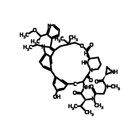 CCn1c(-c2cccnc2[C@H](C)OC)c2c3cc(ccc31)-c1cc(O)cc(c1)C[C@H](NC(=O)[C@H](C(C)C)N(C)C(=O)CN(C)C(=O)[C@@H]1CN1)C(=O)N1CCC[C@H](N1)C(=O)OCC(C)(C)C2